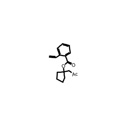 C=Cc1ccccc1C(=O)OC1(CC(C)=O)CCCC1